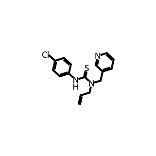 C=CCN(Cc1cccnc1)C(=S)Nc1ccc(Cl)cc1